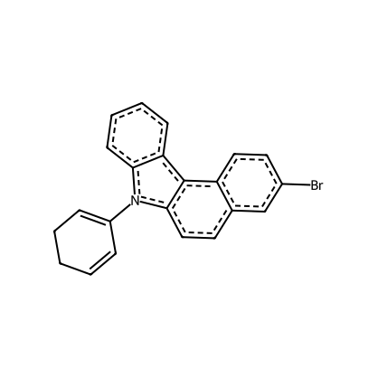 Brc1ccc2c(ccc3c2c2ccccc2n3C2=CCCC=C2)c1